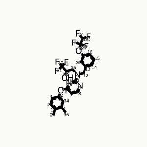 Cc1ccc(Oc2ccnc(N(Cc3cccc(OC(F)(F)C(F)F)c3)C[C@@H](O)C(F)(F)F)n2)cc1C